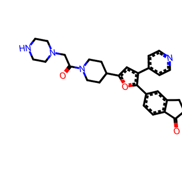 O=C1CCc2cc(-c3oc(C4CCN(C(=O)CN5CCNCC5)CC4)cc3-c3ccncc3)ccc21